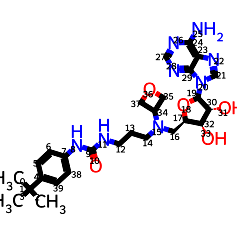 CC(C)(C)c1ccc(NC(=O)NCCCN(C[C@H]2OC(n3cnc4c(N)ncnc43)[C@H](O)[C@@H]2O)C2COC2)cc1